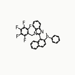 CP(c1ccccc1)c1ccc2ccccc2c1-c1nc2ccccc2n1Cc1c(F)c(F)c(F)c(F)c1F